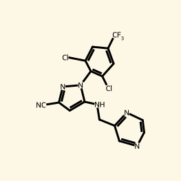 N#Cc1cc(NCc2cnccn2)n(-c2c(Cl)cc(C(F)(F)F)cc2Cl)n1